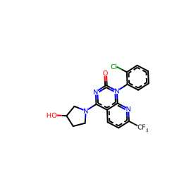 O=c1nc(N2CCC(O)C2)c2ccc(C(F)(F)F)nc2n1-c1ccccc1Cl